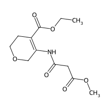 CCOC(=O)C1=C(NC(=O)CC(=O)OC)COCC1